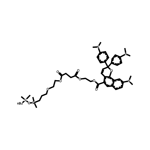 CCCC[Si](C)(C)O[Si](C)(C)CCCOCCOC(=O)CCC(=O)OCCOC(=O)c1cc2ccc(N(C)C)cc2c2c1C=CC(c1ccc(N(C)C)cc1)(c1ccc(N(C)C)cc1)O2